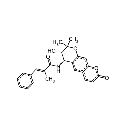 C/C(=C\c1ccccc1)C(=O)N[C@@H]1c2cc3ccc(=O)oc3cc2OC(C)(C)[C@H]1O